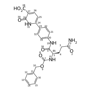 NC(=O)CC[C@@H](NC(=O)OCc1ccccc1)C(=O)Nc1ccc(-c2ccc(C(=O)O)c(=O)[nH]2)cc1